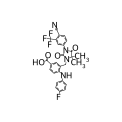 CC1(C)C(=O)N(c2ccc(C#N)c(C(F)(F)F)c2)C(=O)N1Cc1cc(C(=O)O)ccc1Nc1ccc(F)cc1